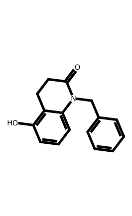 O=C1CCc2c(O)cccc2N1Cc1ccccc1